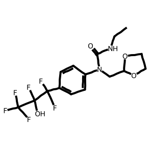 CCNC(=O)N(CC1OCCO1)c1ccc(C(F)(F)C(O)(F)C(F)(F)F)cc1